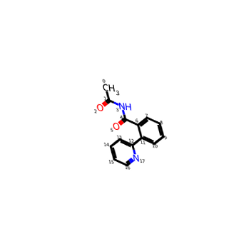 CC(=O)NC(=O)c1ccccc1-c1ccccn1